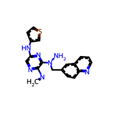 C=Nc1ncc(Nc2ccsc2)nc1N(N)Cc1ccc2ncccc2c1